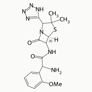 COc1ccccc1C(N)C(=O)NC1C(=O)N2C(c3nnn[nH]3)C(C)(C)S[C@@H]12